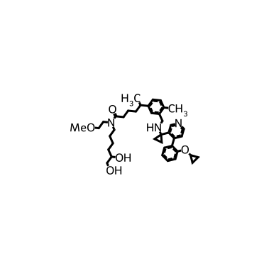 COCCN(CCCCC(O)CO)C(=O)CCCC(C)c1ccc(C)c(CNC2(c3cnccc3-c3ccccc3OC3CC3)CC2)c1